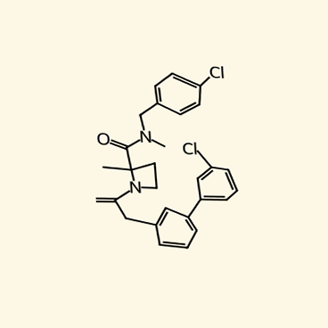 C=C(Cc1cccc(-c2cccc(Cl)c2)c1)N1CCC1(C)C(=O)N(C)Cc1ccc(Cl)cc1